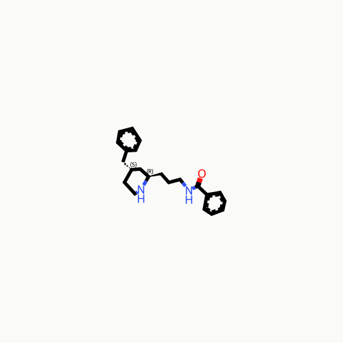 O=C(NCCC[C@@H]1C[C@@H](Cc2ccccc2)CCN1)c1ccccc1